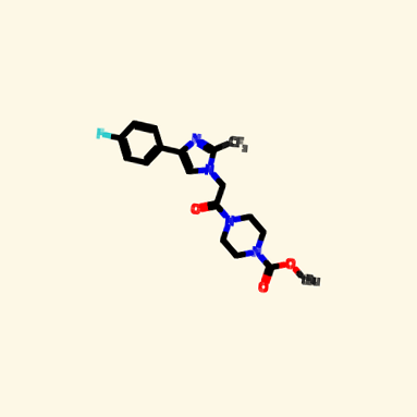 CC(C)(C)OC(=O)N1CCN(C(=O)Cn2cc(-c3ccc(F)cc3)nc2C(F)(F)F)CC1